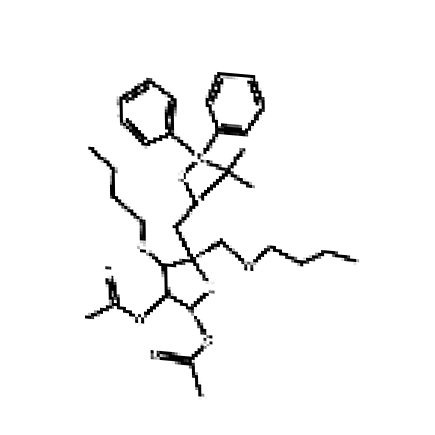 CCCCOC[C@@]1(CCO[Si](c2ccccc2)(c2ccccc2)C(C)(C)C)O[C@@H](OC(C)=O)C(OC(C)=O)C1OCCCC